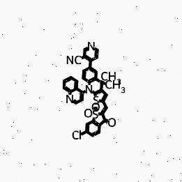 CC1(C)c2cc(-c3ccncc3C#N)ccc2N(c2ccnc3ccccc23)c2sc(/C=C3/C(=O)c4ccc(Cl)cc4S3(=O)=O)cc21